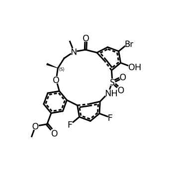 COC(=O)c1ccc2c(c1)-c1cc(c(F)cc1F)NS(=O)(=O)c1cc(cc(Br)c1O)C(=O)N(C)C[C@H](C)O2